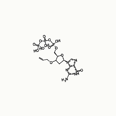 C=CCOC1C[C@H](n2cnc3c(=O)[nH]c(N)nc32)O[C@@H]1COP(=O)(O)OP(=O)(O)OP(=O)(O)O